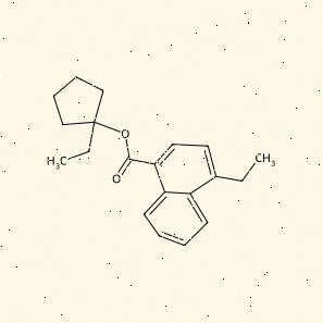 CCc1ccc(C(=O)OC2(CC)CCCC2)c2ccccc12